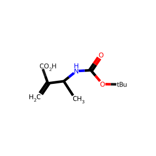 C=C(C(=O)O)C(C)NC(=O)OC(C)(C)C